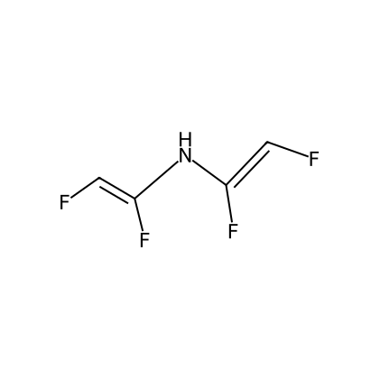 FC=C(F)NC(F)=CF